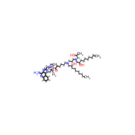 CCCCCCCCC(O)CN(CCCCCC(=O)OC(C)(C)Cn1c(CNCC)nc2c(N)nc3ccccc3c21)CCCN(CC(C)O)CC(O)CCCCCCCC